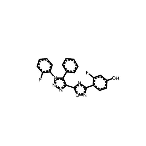 Oc1ccc(-c2noc(-c3nnn(-c4ccccc4F)c3-c3ccccc3)n2)c(F)c1